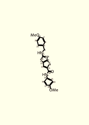 COc1ccc(CNc2nc3sc(C(=O)Nc4ccc(OC)cc4)cc3s2)cc1